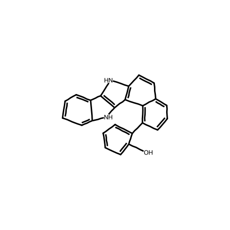 Oc1ccccc1-c1cccc2ccc3[nH]c4c5ccccc5[nH]c4c3c12